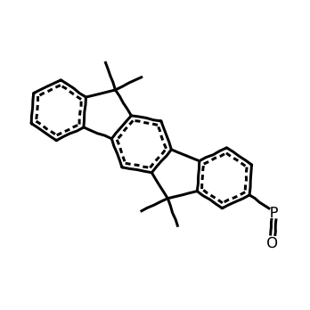 CC1(C)c2ccccc2-c2cc3c(cc21)-c1ccc(P=O)cc1C3(C)C